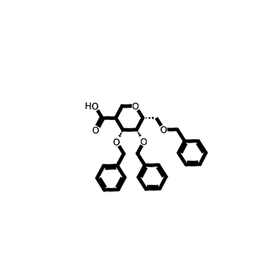 O=C(O)C1CO[C@H](COCc2ccccc2)[C@H](OCc2ccccc2)[C@@H]1OCc1ccccc1